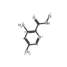 CCNC(=O)c1ncc(C)cc1N